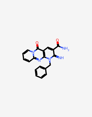 N=c1c(C(N)=O)cc2c(=O)n3ccccc3nc2n1Cc1ccccc1